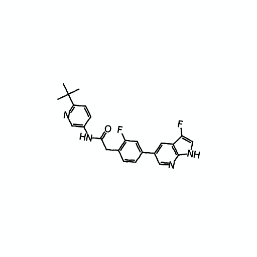 CC(C)(C)c1ccc(NC(=O)Cc2ccc(-c3cnc4[nH]cc(F)c4c3)cc2F)cn1